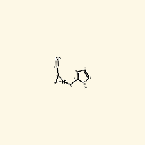 N#CC1CN1Cc1cccs1